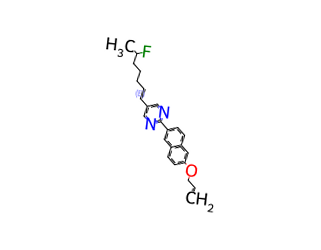 C=CCOc1ccc2cc(-c3ncc(/C=C/CCCC(C)F)cn3)ccc2c1